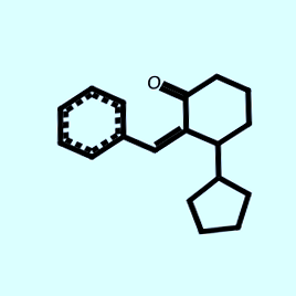 O=C1CCCC(C2CCCC2)C1=Cc1ccccc1